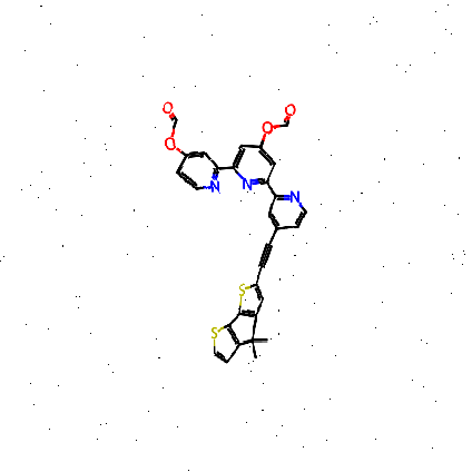 CC1(C)c2ccsc2-c2sc(C#Cc3ccnc(-c4cc(OC=O)cc(-c5cc(OC=O)ccn5)n4)c3)cc21